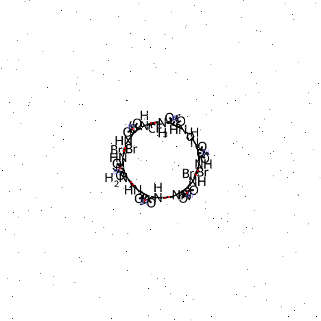 C/C=C1/C(=O)c2c[nH]c3ccc(cc3)[nH]cc3c(=O)c(c[nH]c4cc(Br)c(cc4Br)[nH]cc4c(=O)c(c[nH]c5ccc(cc5)[nH]cc5c(=O)c(c[nH]c6ccc([nH]cc7c(=O)c(c[nH]c8cc(Br)c(cc8Br)[nH]cc8c(=O)c(c(N)c9ccc([nH]cc(c2=O)C1=O)c(C)c9)C(=O)/C(=C/C)C8=O)C(=O)/C(=C/C)C7=O)c(C(F)(F)F)c6)C(=O)/C(=C/C)C5=O)C(=O)/C(=C/C)C4=O)C(=O)/C(=C/C)C3=O